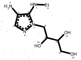 CCNc1c(N)cnn1CC(O)C(O)CO